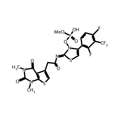 COP(=O)(O)On1c(-c2ccc(F)c(C(F)(F)F)c2F)cs/c1=N\C(=O)Cc1csc2c1c(=O)n(C)c(=O)n2C